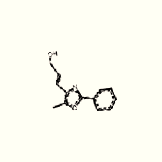 Cc1oc(-c2ccccc2)nc1C=CCO